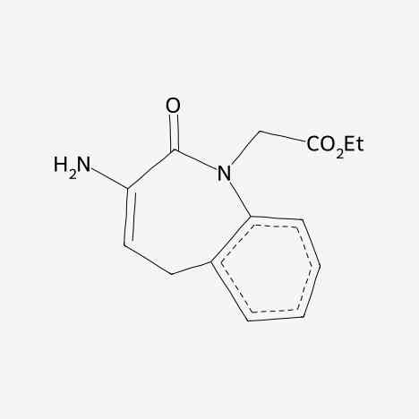 CCOC(=O)CN1C(=O)C(N)=CCc2ccccc21